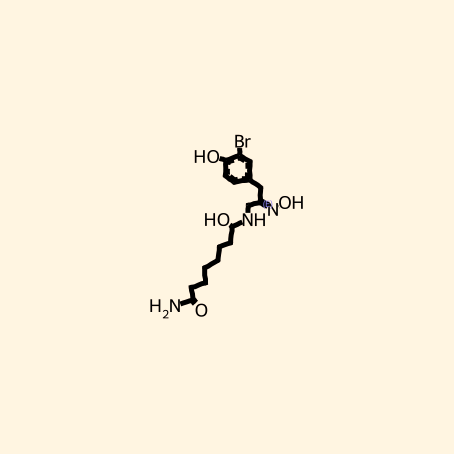 NC(=O)CCCCCCC(O)NC/C(Cc1ccc(O)c(Br)c1)=N/O